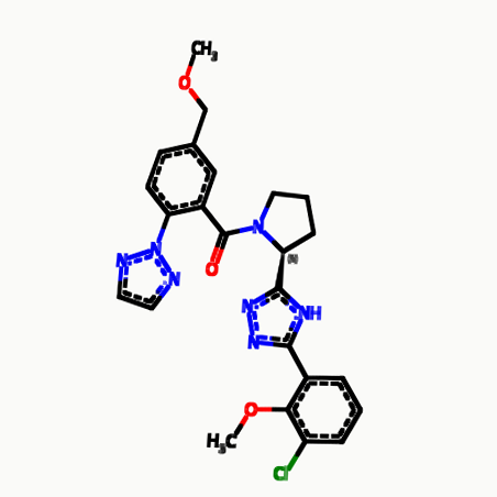 COCc1ccc(-n2nccn2)c(C(=O)N2CCC[C@H]2c2nnc(-c3cccc(Cl)c3OC)[nH]2)c1